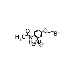 CC(=O)Nc1ccc(OCCBr)cc1[N+](=O)[O-]